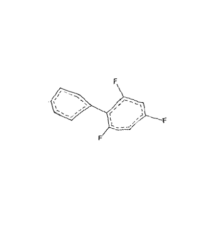 Fc1cc(F)c(-c2cc[c]cc2)c(F)c1